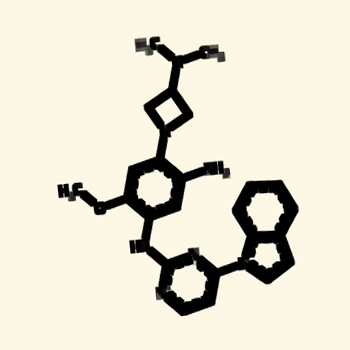 COc1cc(N2CC(N(C)C)C2)c(N)cc1Nc1nccc(-n2ccc3ccccc32)n1